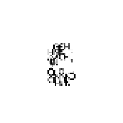 Cc1ccc(-c2noc([C@@H](C)NS(C)(=O)=O)n2)cc1NC(=O)c1cnc2ccccn12